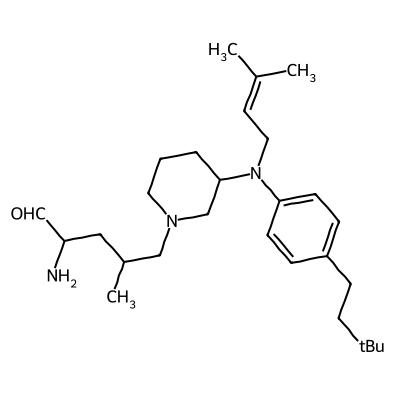 CC(C)=CCN(c1ccc(CCC(C)(C)C)cc1)C1CCCN(CC(C)CC(N)C=O)C1